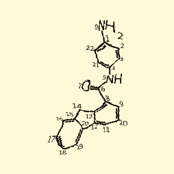 Nc1ccc(NC(=O)c2cccc3c2Cc2ccccc2-3)cc1